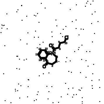 O=C1CCCN(C(=O)CCCCl)c2ccccc21